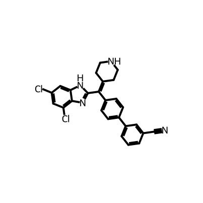 N#Cc1cccc(-c2ccc(C(=C3CCNCC3)c3nc4c(Cl)cc(Cl)cc4[nH]3)cc2)c1